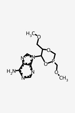 COCC1OCP(COC)OC1n1cnc2c(N)ncnc21